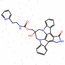 O=C(NCCc1ccccn1)OCC1(O)Cn2c3ccccc3c3c4c(c5c6ccccc6n(c5c32)C1)C(=O)NC4